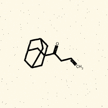 C=CCC(=O)C12CC3CC(CC(C3)C1)C2